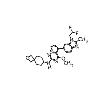 COc1nc(NC2CCC3(CC2)COC3)nn2ccc(-c3ccc4nc(C)n(CC(F)F)c4c3)c12